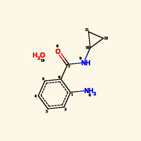 Nc1ccccc1C(=O)NC1CC1.O